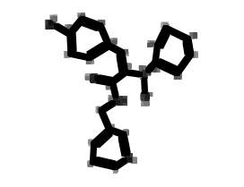 O=C(NCc1cccnc1)/C(=C\c1ccc(Br)cc1)[S+]([O-])c1ccccc1